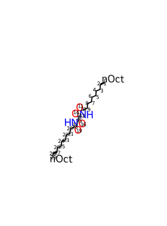 CCCCCCCCC=CCCCCCCCC(=O)NC(=O)C(=O)NC(=O)CCCCCCCC=CCCCCCCCC